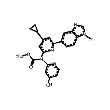 CCn1cnc2cc(-c3cc(C4CC4)cc(N(C(=O)OC(C)(C)C)c4cc(C#N)ccn4)n3)ccc21